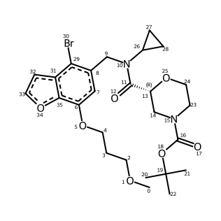 COCCCOc1cc(CN(C(=O)[C@H]2CN(C(=O)OC(C)(C)C)CCO2)C2CC2)c(Br)c2ccoc12